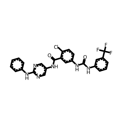 O=C(Nc1cccc(C(F)(F)F)c1)Nc1ccc(Cl)c(C(=O)Nc2cnc(Nc3ccccc3)nc2)c1